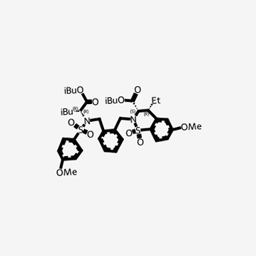 CC[C@@H](C)[C@H](C(=O)OCC(C)C)N(Cc1ccccc1CN1[C@H](C(=O)OCC(C)C)[C@H](CC)c2cc(OC)ccc2S1(=O)=O)S(=O)(=O)c1ccc(OC)cc1